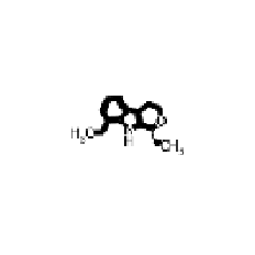 CCc1cccc2c3c([nH]c12)[C@@H](CC)OCC3